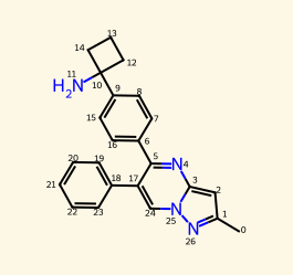 Cc1cc2nc(-c3ccc(C4(N)CCC4)cc3)c(-c3ccccc3)cn2n1